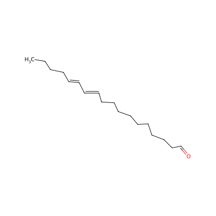 CCCCC=CC=CCCCCCCCCCC=O